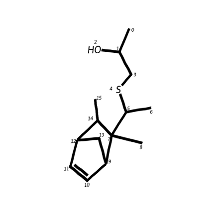 CC(O)CSC(C)C1(C)C2C=CC(C2)C1C